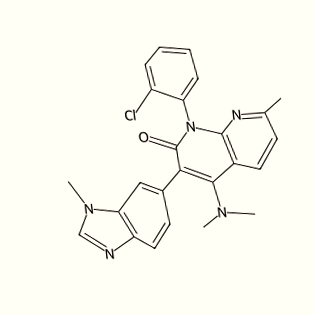 Cc1ccc2c(N(C)C)c(-c3ccc4ncn(C)c4c3)c(=O)n(-c3ccccc3Cl)c2n1